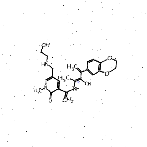 C=C(/C(C#N)=C(\C)NC(=C)c1cc(CNCCO)cn(C)c1=O)c1ccc2c(c1)OCCO2